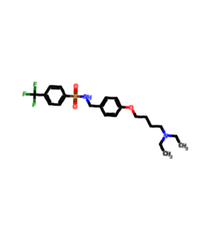 CCN(CC)CCCCOc1ccc(CNS(=O)(=O)c2ccc(C(F)(F)F)cc2)cc1